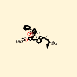 C=C1/C(=C\C=C2/CCC[C@]3(C)[C@@H]([C@H](C)/C=C/[C@H](C4CC4)C(C)(C)C)CC[C@@H]23)C[C@@H](O[Si](C)(C)C(C)(C)C)C[C@]1(O[SiH](c1ccccc1)c1ccccc1)O[Si](C)(C)C(C)(C)C